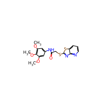 COc1cc(NC(=O)CSc2nc3ncccc3s2)cc(OC)c1OC